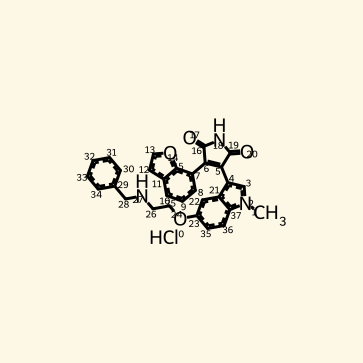 Cl.Cn1cc(C2=C(c3cccc4ccoc34)C(=O)NC2=O)c2cc(OCCNCc3ccccc3)ccc21